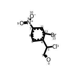 O=CC(Cl)c1ccc([N+](=O)[O-])cc1Br